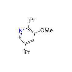 COc1cc(C(C)C)cnc1C(C)C